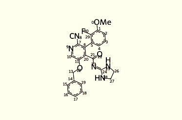 COc1cccc(-c2c(C#N)ncc(OCc3ccccc3)c2C(=O)N=C2NCCN2)c1F